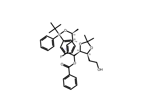 C[C@H](/C=C(/F)C(OC(=O)c1ccccc1)[C@H]1OC(C)(C)O[C@H]1CCO)[C@H](C)O[Si](c1ccccc1)(c1ccccc1)C(C)(C)C